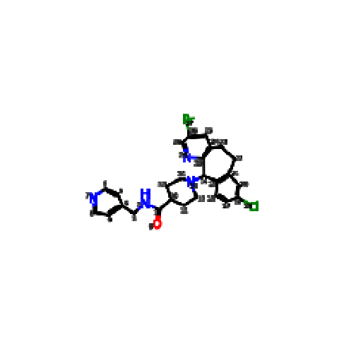 O=C(NCc1ccncc1)C1CCN(C2c3ccc(Cl)cc3CCc3cc(Br)cnc32)CC1